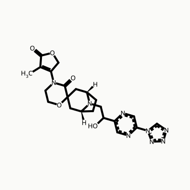 CC1=C(N2CCOC3(C[C@H]4CC[C@@H](C3)N4CC(O)c3cnc(-n4cnnn4)cn3)C2=O)COC1=O